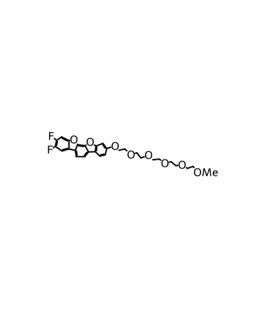 COCCOCCOCCOCCOCCOc1ccc2c(c1)oc1c2ccc2c3cc(F)c(F)cc3oc21